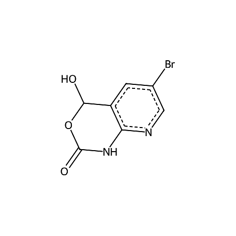 O=C1Nc2ncc(Br)cc2C(O)O1